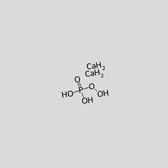 O=P(O)(O)OO.[CaH2].[CaH2]